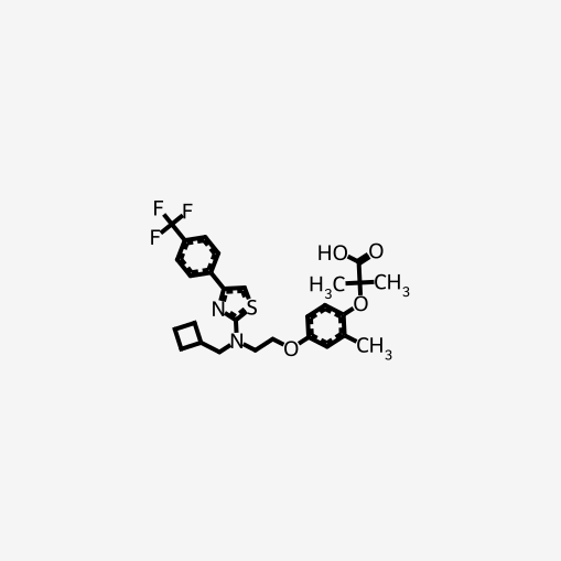 Cc1cc(OCCN(CC2CCC2)c2nc(-c3ccc(C(F)(F)F)cc3)cs2)ccc1OC(C)(C)C(=O)O